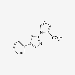 O=C(O)c1cncn1-c1ncc(-c2ccccc2)s1